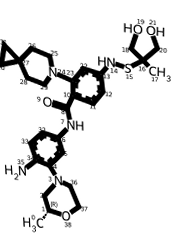 C[C@@H]1CN(c2cc(NC(=O)c3ccc(NSC(C)(CO)CO)cc3N3CCC4(CC3)CC4)ccc2N)CCO1